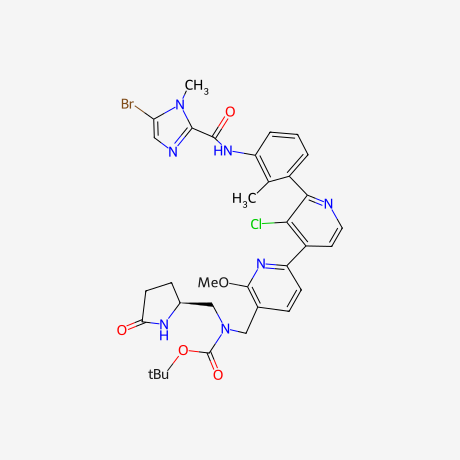 COc1nc(-c2ccnc(-c3cccc(NC(=O)c4ncc(Br)n4C)c3C)c2Cl)ccc1CN(C[C@@H]1CCC(=O)N1)C(=O)OC(C)(C)C